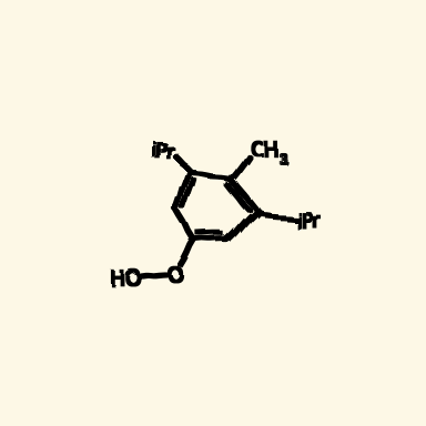 Cc1c(C(C)C)cc(OO)cc1C(C)C